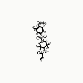 C=CC(=O)NC1C(C)(C)CN(S(=O)(=O)c2ccc(OC)c(C)c2)CC1(C)C